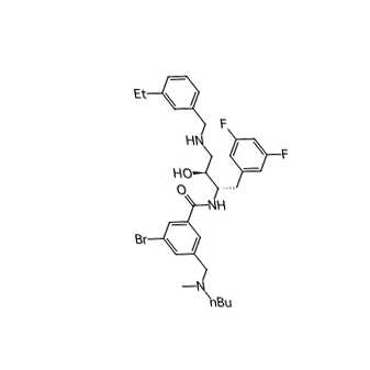 CCCCN(C)Cc1cc(Br)cc(C(=O)N[C@@H](Cc2cc(F)cc(F)c2)[C@@H](O)CNCc2cccc(CC)c2)c1